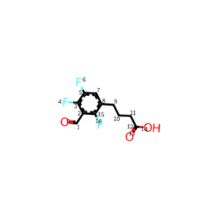 O=Cc1c(F)c(F)cc(CCCC(=O)O)c1F